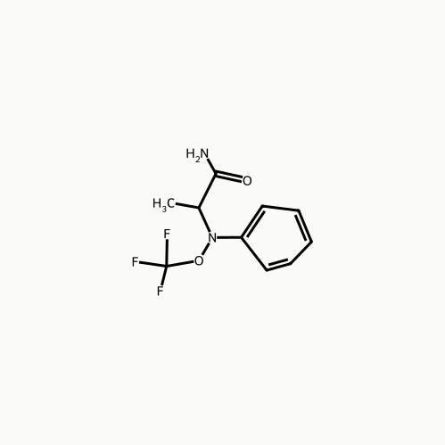 CC(C(N)=O)N(OC(F)(F)F)c1ccccc1